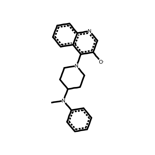 CN(c1ccccc1)C1CCN(c2c([O])cnc3ccccc23)CC1